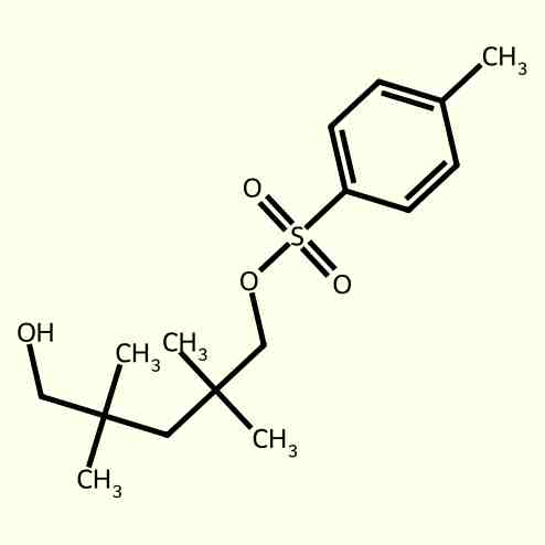 Cc1ccc(S(=O)(=O)OCC(C)(C)CC(C)(C)CO)cc1